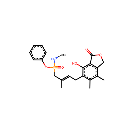 CC[C@H](C)NP(=O)(C/C(C)=C/Cc1c(C)c(C)c2c(c1O)C(=O)OC2)Oc1ccccc1